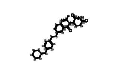 Cc1nc2ccc(CCc3ccc(CN4CCCCC4)cc3)cc2c(=O)n1C1CCC(=O)NC1=O